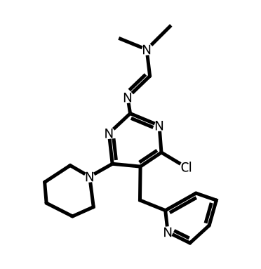 CN(C)C=Nc1nc(Cl)c(Cc2ccccn2)c(N2CCCCC2)n1